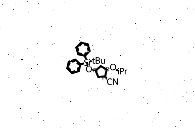 CC(C)O[C@H]1C[C@H](O[Si](c2ccccc2)(c2ccccc2)C(C)(C)C)C[C@@H]1C#N